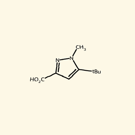 Cn1nc(C(=O)O)cc1C(C)(C)C